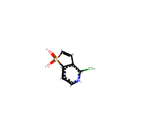 O=S1(=O)C=Cc2c1ccnc2Cl